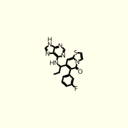 CCC(Nc1ncnc2[nH]cnc12)c1cc2sccn2c(=O)c1-c1cccc(F)c1